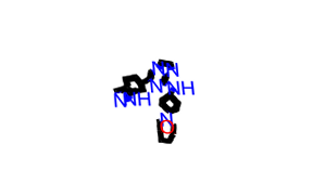 c1cn2cc(-c3ccc4cn[nH]c4c3)nc(Nc3ccc(N4CC5CCC(C4)O5)cc3)c2n1